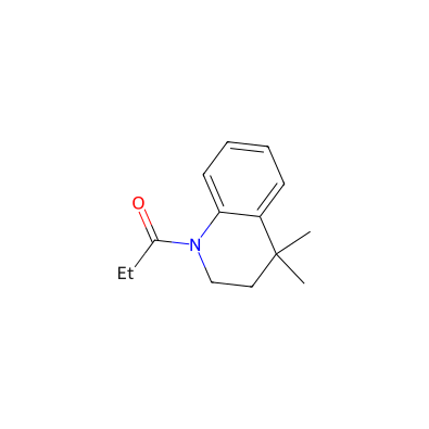 CCC(=O)N1CCC(C)(C)c2ccccc21